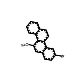 COc1cc2ccc(Br)cc2c2ccc3ccccc3c12